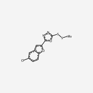 CCCCSSc1nnc(-c2cc3cc(Cl)ccc3o2)o1